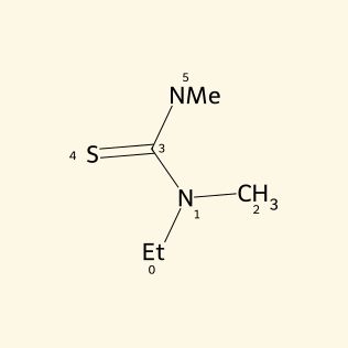 CCN(C)C(=S)NC